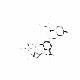 C[C@H]1CC(=O)C[C@@H](COc2cc(C(F)(F)F)c3c(c2)c(F)nn3C2CC(C)(O[Si](C)(C)C(C)(C)C)C2)N1C(=O)OC(C)(C)C